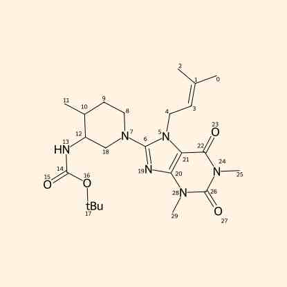 CC(C)=CCn1c(N2CCC(C)C(NC(=O)OC(C)(C)C)C2)nc2c1c(=O)n(C)c(=O)n2C